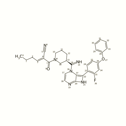 CCC/C=C(\C#N)C(=O)N1CCC[C@@H](C(=N)n2ccnc3[nH]c(-c4ccc(Oc5ccccc5)cc4F)c2-3)C1